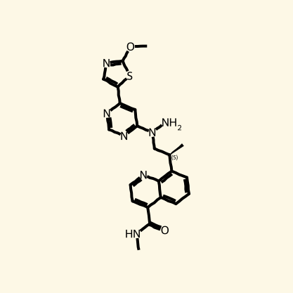 CNC(=O)c1ccnc2c([C@H](C)CN(N)c3cc(-c4cnc(OC)s4)ncn3)cccc12